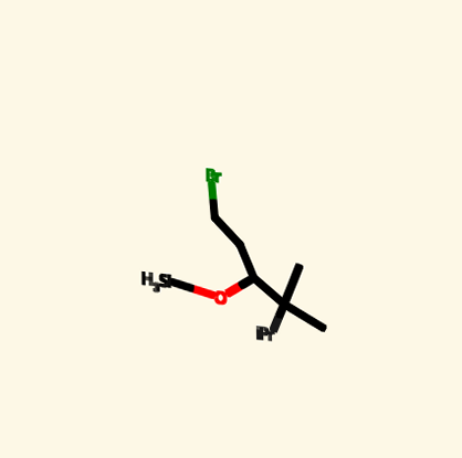 CC(C)C(C)(C)C(CCBr)O[SiH3]